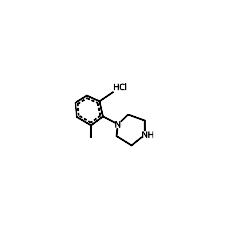 Cc1cccc(C)c1N1CCNCC1.Cl